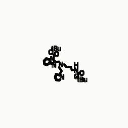 CC(C)(C)OC(=O)NCCCCN(CCc1ccccn1)Cc1nc2ccccc2n1C(=O)OC(C)(C)C